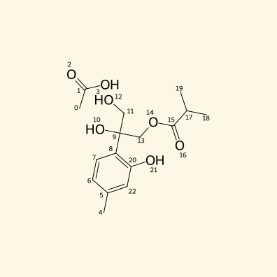 CC(=O)O.Cc1ccc(C(O)(CO)COC(=O)C(C)C)c(O)c1